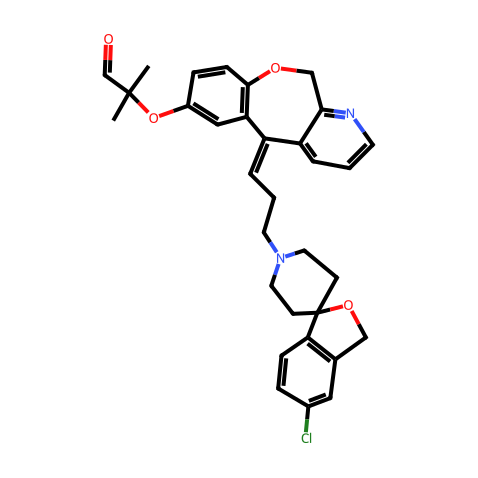 CC(C)(C=O)Oc1ccc2c(c1)/C(=C/CCN1CCC3(CC1)OCc1cc(Cl)ccc13)c1cccnc1CO2